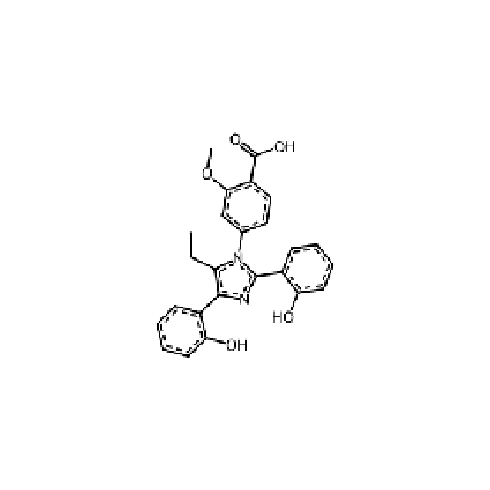 CCc1c(-c2ccccc2O)nc(-c2ccccc2O)n1-c1ccc(C(=O)O)c(OC)c1